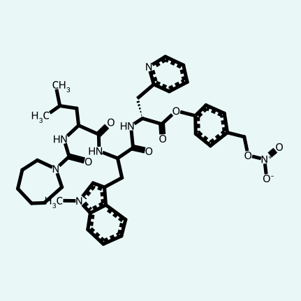 CC(C)CC(NC(=O)N1CCCCCC1)C(=O)NC(Cc1cn(C)c2ccccc12)C(=O)N[C@H](Cc1ccccn1)C(=O)Oc1ccc(CO[N+](=O)[O-])cc1